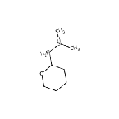 C[SiH](C)[SiH2][C]1CCCCO1